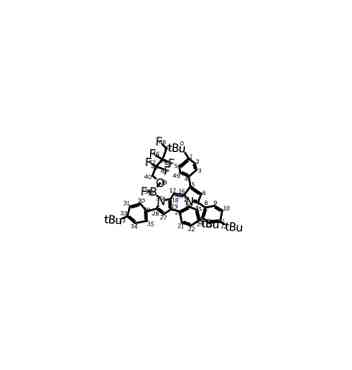 CC(C)(C)c1ccc(C2=CC(c3ccc(C(C)(C)C)cc3)=N/C2=C\c2c(-c3ccc(C(C)(C)C)cc3)cc(-c3ccc(C(C)(C)C)cc3)n2B(F)OCC(F)(F)C(F)(F)CF)cc1